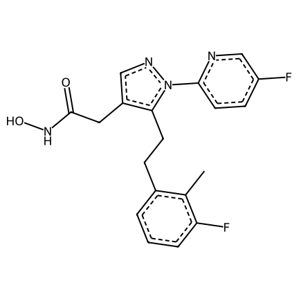 Cc1c(F)cccc1CCc1c(CC(=O)NO)cnn1-c1ccc(F)cn1